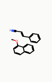 COc1cccc2ccccc12.N#CC=Cc1ccccc1